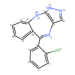 Clc1ccccc1C1=Nc2cn[nH]c2Nc2ccccc21